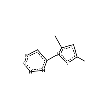 Cc1cc(C)n(-c2cnnnn2)n1